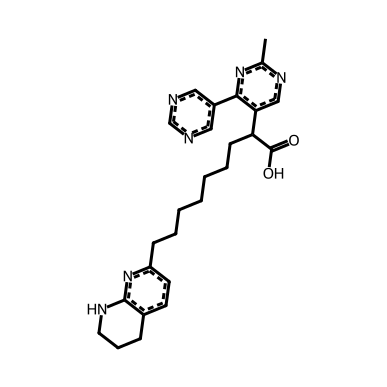 Cc1ncc(C(CCCCCCCc2ccc3c(n2)NCCC3)C(=O)O)c(-c2cncnc2)n1